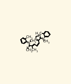 C\N=C(/C(C)=C/C=C\C1=NCN=C1N(C)c1ccccc1C)N(C)c1ccccc1C